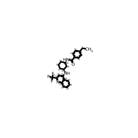 CCc1ccc(C(=O)N[C@@H]2CCC[C@H](Nc3cc(C(F)(F)F)nc4ccccc34)C2)cc1